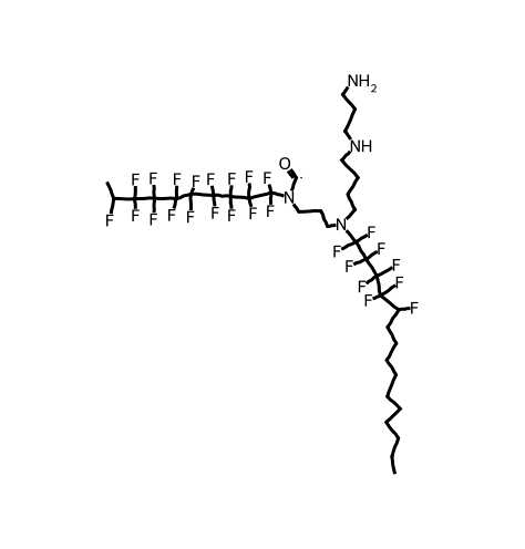 CCCCCCCCCCC(F)C(F)(F)C(F)(F)C(F)(F)C(F)(F)N(CCCCNCCCN)CCCN([C]=O)C(F)(F)C(F)(F)C(F)(F)C(F)(F)C(F)(F)C(F)(F)C(F)(F)C(F)(F)C(C)F